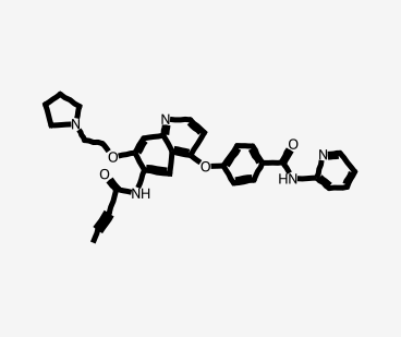 CC#CC(=O)Nc1cc2c(Oc3ccc(C(=O)Nc4ccccn4)cc3)ccnc2cc1OCCN1CCCC1